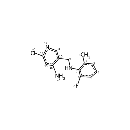 Cc1cccc(F)c1NCc1cnc(Cl)cc1N